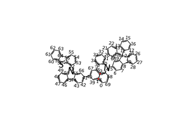 c1ccc(N(c2ccc3c(c2)C(c2ccccc2)(c2ccccc2)c2ccccc2-3)c2ccccc2-c2cccc(-c3ccc4c5ccccc5n(-c5cccc6c5sc5ccccc56)c4c3)c2)cc1